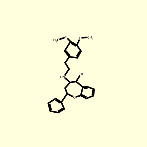 COc1ccc(CCNC2CC(c3ccccc3)Oc3ccccc3C2O)cc1OC